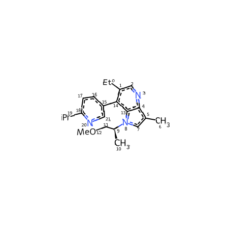 CCc1cnc2c(C)cn([C@@H](C)COC)c2c1-c1ccc(C(C)C)nc1